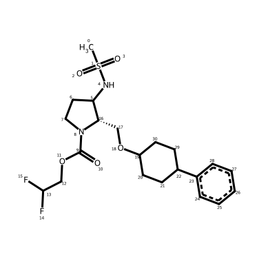 CS(=O)(=O)NC1CCN(C(=O)OCC(F)F)[C@H]1COC1CCC(c2ccccc2)CC1